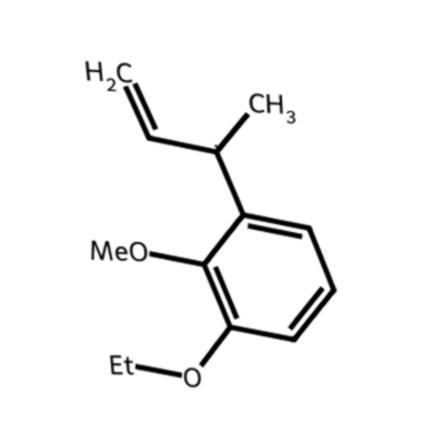 C=C[C](C)c1cccc(OCC)c1OC